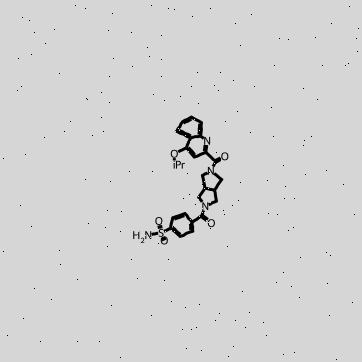 CC(C)Oc1cc(C(=O)N2CC3CN(C(=O)c4ccc(S(N)(=O)=O)cc4)CC3C2)nc2ccccc12